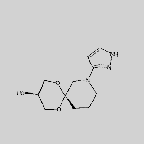 O[C@H]1CO[C@@]2(CCCN(c3cc[nH]n3)C2)OC1